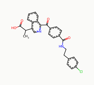 CC(C(=O)O)c1cnc(C(=O)c2ccc(C(=O)NCCc3ccc(Cl)cc3)cc2)c2ccccc12